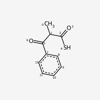 CC(C(=O)S)C(=O)c1ccccc1